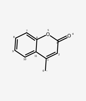 [CH2]c1cc(=O)oc2ccccc12